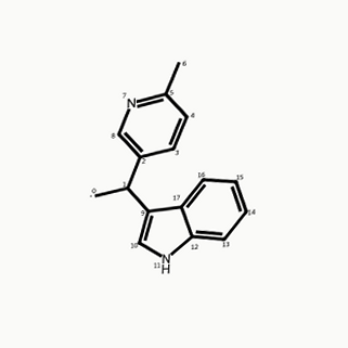 [CH2]C(c1ccc(C)nc1)c1c[nH]c2ccccc12